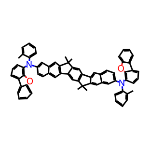 Cc1ccccc1N(c1ccc2cc3c(cc2c1)C(C)(C)c1cc2c(cc1-3)C(C)(C)c1cc3cc(N(c4ccccc4C)c4cccc5c4oc4ccccc45)ccc3cc1-2)c1cccc2c1oc1ccccc12